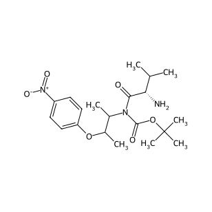 CC(Oc1ccc([N+](=O)[O-])cc1)C(C)N(C(=O)OC(C)(C)C)C(=O)[C@@H](N)C(C)C